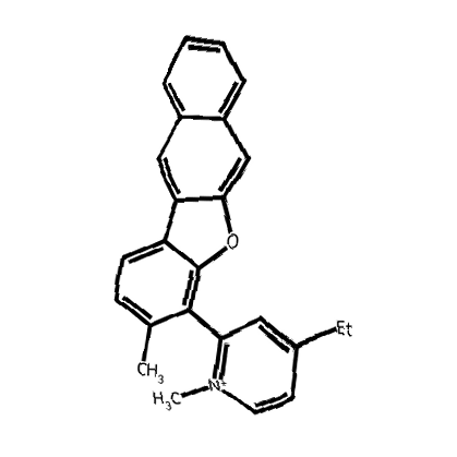 CCc1cc[n+](C)c(-c2c(C)ccc3c2oc2cc4ccccc4cc23)c1